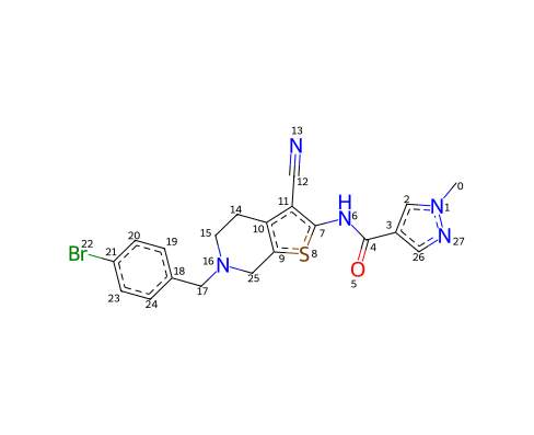 Cn1cc(C(=O)Nc2sc3c(c2C#N)CCN(Cc2ccc(Br)cc2)C3)cn1